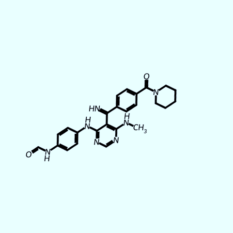 CNc1ncnc(Nc2ccc(NC=O)cc2)c1C(=N)c1ccc(C(=O)N2CCCCC2)cc1